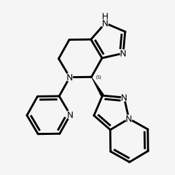 c1ccc(N2CCc3[nH]cnc3[C@H]2c2cc3ccccn3n2)nc1